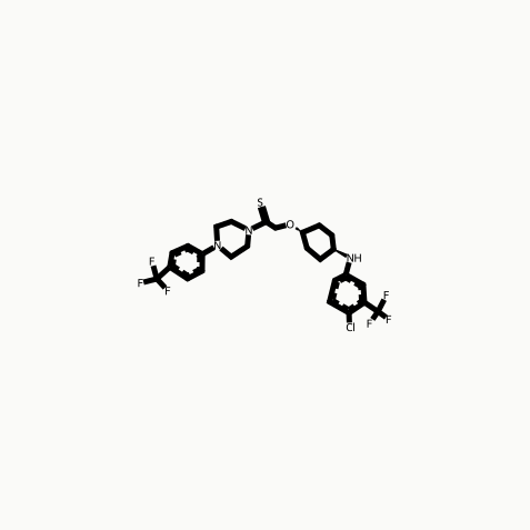 FC(F)(F)c1ccc(N2CCN(C(=S)CO[C@H]3CC[C@H](Nc4ccc(Cl)c(C(F)(F)F)c4)CC3)CC2)cc1